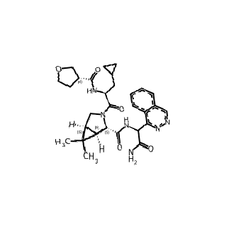 CC1(C)[C@@H]2[C@@H](C(=O)NC(C(N)=O)c3nncc4ccccc34)N(C(=O)C(CC3CC3)NC(=O)[C@@H]3CCOC3)C[C@@H]21